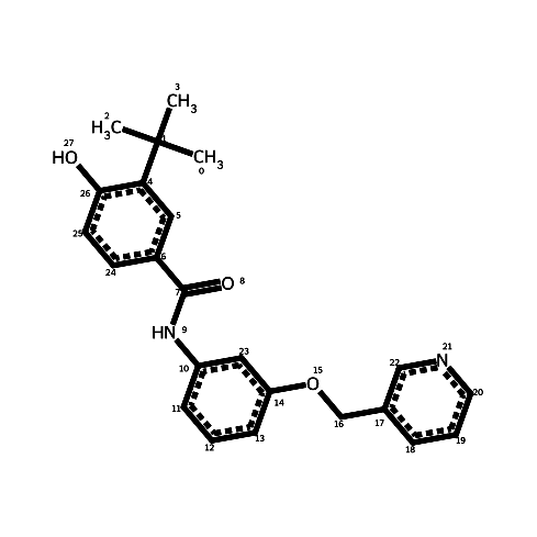 CC(C)(C)c1cc(C(=O)Nc2cccc(OCc3cccnc3)c2)ccc1O